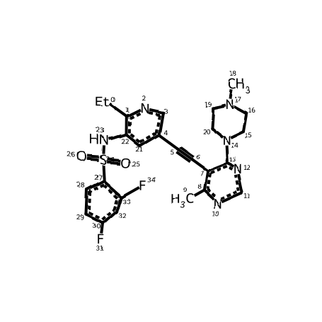 CCc1ncc(C#Cc2c(C)ncnc2N2CCN(C)CC2)cc1NS(=O)(=O)c1ccc(F)cc1F